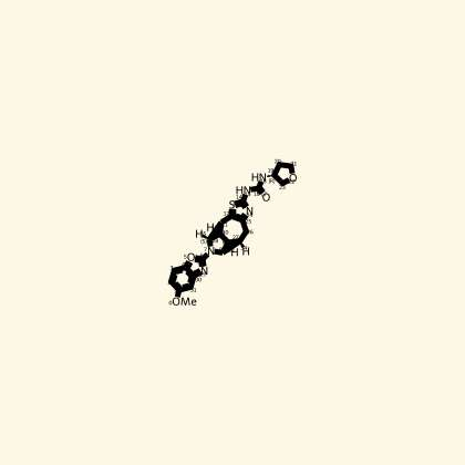 COc1ccc2oc(N3C4[C@H]5[C@@H]6C(c7sc(NC(=O)N[C@@H]8CCOC8)nc7C[C@H]45)[C@H]63)nc2c1